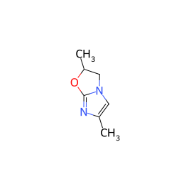 Cc1cn2c(n1)OC(C)C2